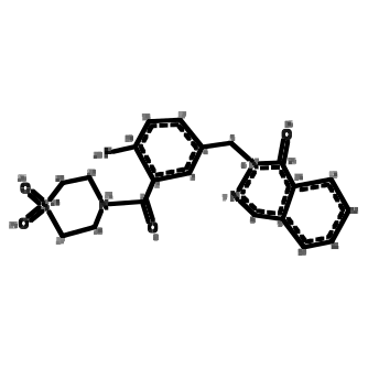 O=C(c1cc(Cn2ncc3ccccc3c2=O)ccc1F)N1CCS(=O)(=O)CC1